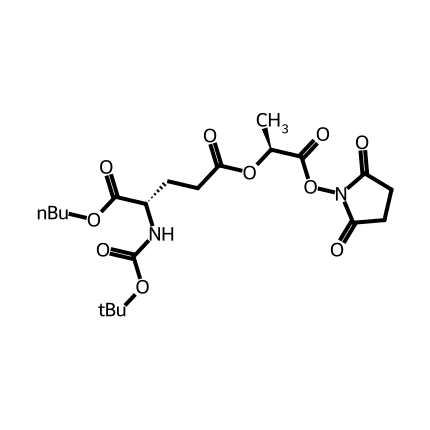 CCCCOC(=O)[C@H](CCC(=O)O[C@@H](C)C(=O)ON1C(=O)CCC1=O)NC(=O)OC(C)(C)C